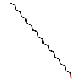 CCCCCC=CCC=CCC=CCC=CCCCCC[C]=O